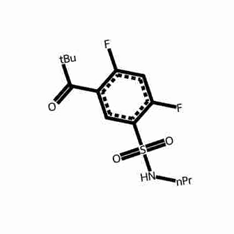 CCCNS(=O)(=O)c1cc(C(=O)C(C)(C)C)c(F)cc1F